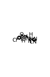 CC(C)(CNC(=O)c1ccc(Cl)cc1F)CNC(=NC#N)Nc1cccnc1